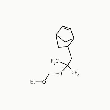 CCOCOC(CC1CC2C=CC1C2)(C(F)(F)F)C(F)(F)F